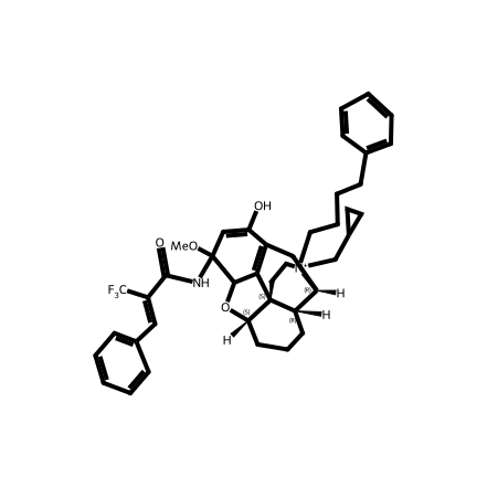 COC1(NC(=O)C(=Cc2ccccc2)C(F)(F)F)C=C(O)C2=C3C1O[C@H]1CCC[C@H]4[C@@H](C2)[N+](CCCCc2ccccc2)(CC2CC2)CC[C@]314